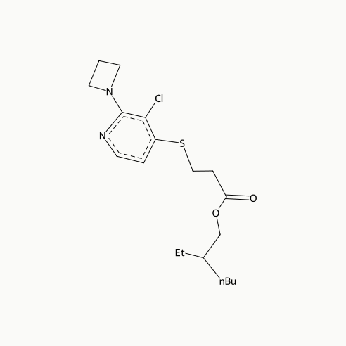 CCCCC(CC)COC(=O)CCSc1ccnc(N2CCC2)c1Cl